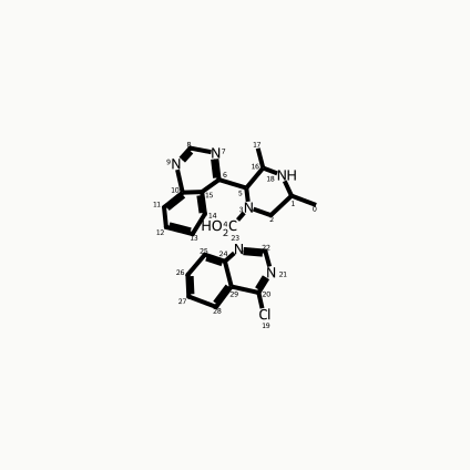 CC1CN(C(=O)O)C(c2ncnc3ccccc23)C(C)N1.Clc1ncnc2ccccc12